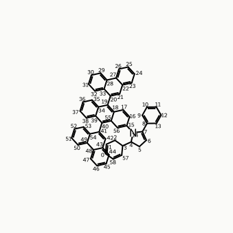 C1=CCC(C2CC=C(c3ccccc3)N2c2ccc3c(-c4cc5ccccc5c5ccccc45)c4ccccc4c(-c4cc5ccccc5c5ccccc45)c3c2)C=C1